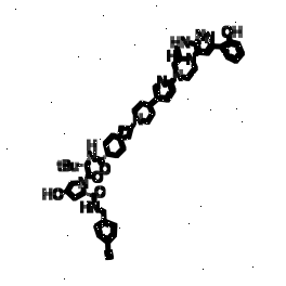 C#Cc1ccc(CNC(=O)[C@@H]2C[C@@H](O)CN2C(=O)[C@@H](NC(=O)[C@H]2CCC3(CC2)C[C@H](N2CCC(c4ccc(N5CCN6c7cc(-c8ccccc8O)nnc7NC[C@H]6C5)nc4)CC2)C3)C(C)(C)C)cc1